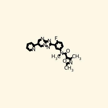 Cc1nc(C)c(C(=O)N(C)c2ccc(F)c(-c3nc4ncc(-c5ccccn5)cn4n3)c2)o1